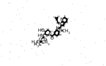 Cn1c(-c2cc3cccnc3n2CC2CC2)nc2cc(C(=O)N3CC[C@@H](O)[C@@H](NC(=O)OC(C)(C)C)C3)ccc21